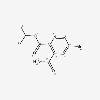 CC(C)OC(=O)c1ncc(Br)cc1C(N)=O